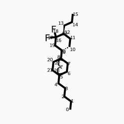 CCCCCC12CCC([C@H]3CC[C@H](CCC)C(F)(F)C3)(CC1)CC2